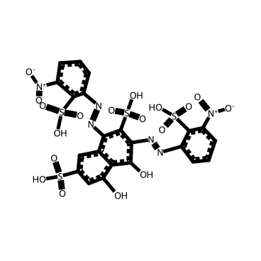 O=[N+]([O-])c1cccc(/N=N/c2c(S(=O)(=O)O)c(/N=N/c3cccc([N+](=O)[O-])c3S(=O)(=O)O)c3cc(S(=O)(=O)O)cc(O)c3c2O)c1S(=O)(=O)O